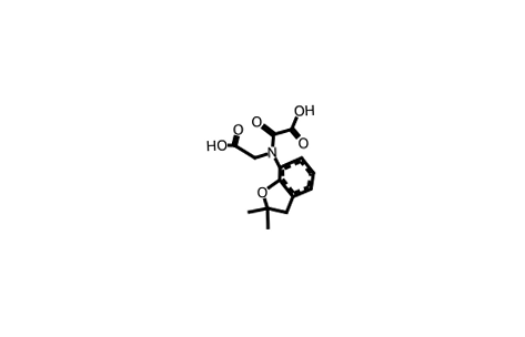 CC1(C)Cc2cccc(N(CC(=O)O)C(=O)C(=O)O)c2O1